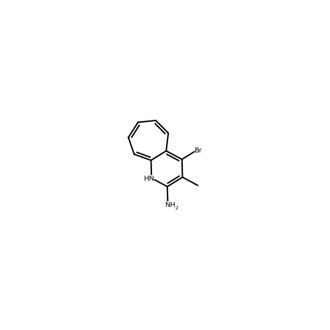 CC1=C(N)NC2=CC=CC=CC2=C1Br